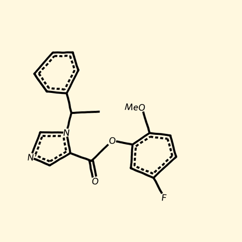 COc1ccc(F)cc1OC(=O)c1cncn1C(C)c1ccccc1